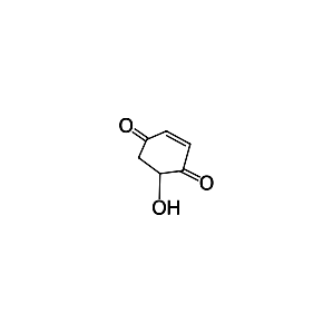 O=C1C=CC(=O)C(O)C1